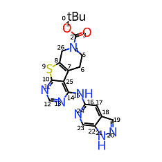 CC(C)(C)OC(=O)N1CCc2c(sc3ncnc(Nc4cc5cn[nH]c5cn4)c23)C1